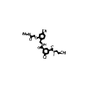 CNC(=O)COc1cc(C#N)ccc1CNC(=O)c1cc(Cl)cc(C(=O)NCCO)c1